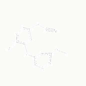 COc1cccc(Oc2cc([CH]C#N)ccc2F)c1